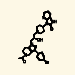 CC(=O)N1CCc2c(c(-c3ccc(Br)cc3)nn2CC(O)CN2CCC(n3c(=O)[nH]c4cccnc43)CC2)C1